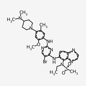 CCN(c1c(Nc2nc(Nc3cc(C)c(N4CCC(N(C)C)CC4)cc3OC)ncc2Br)ccc2nccnc12)S(C)(=O)=O